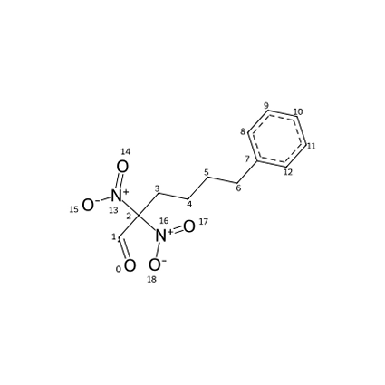 O=[C]C(CCCCc1ccccc1)([N+](=O)[O-])[N+](=O)[O-]